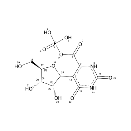 O=C(OP(=O)(O)O)c1[nH]c(=O)[nH]c(=O)c1C1O[C@H](CO)[C@@H](O)[C@H]1O